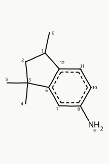 CC1CC(C)(C)c2cc(N)ccc21